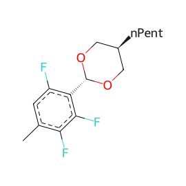 CCCCC[C@H]1CO[C@H](c2c(F)cc(C)c(F)c2F)OC1